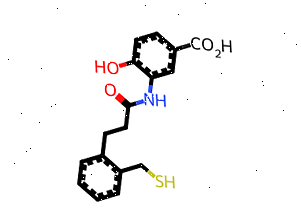 O=C(CCc1ccccc1CS)Nc1cc(C(=O)O)ccc1O